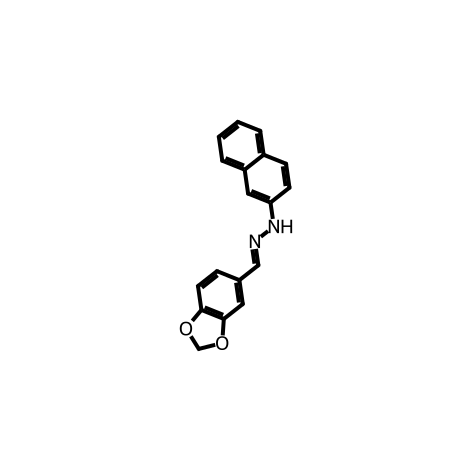 C(=NNc1ccc2ccccc2c1)c1ccc2c(c1)OCO2